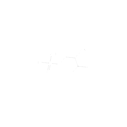 CC(=O)OC(COP(=O)(O)O)C(F)F